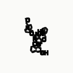 COCC1CCC2(COc3nc4c5c(n3)N3CC6CCC(N6)C3COC5CN(c3cc(O)cc5cccc(Cl)c35)C4)CCCN12